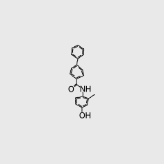 Cc1cc(O)ccc1NC(=O)c1ccc(-c2ccccc2)cc1